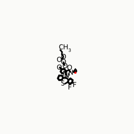 CCCCOC(=O)OCOc1c2n(ccc1=O)N([C@@H]1c3ccccc3SCc3c1ccc(F)c3F)CN(C13CC(C1)C3)C2=O